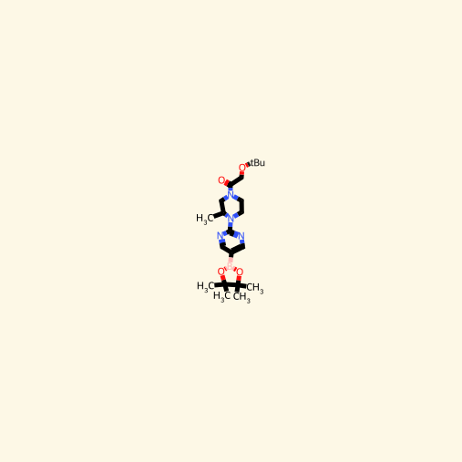 CC1CN(C(=O)COC(C)(C)C)CCN1c1ncc(B2OC(C)(C)C(C)(C)O2)cn1